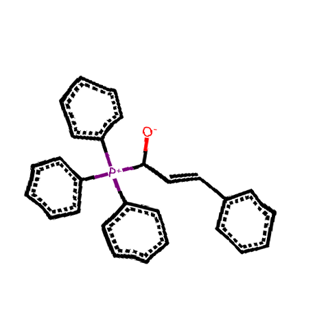 [O-]C(C=Cc1ccccc1)[P+](c1ccccc1)(c1ccccc1)c1ccccc1